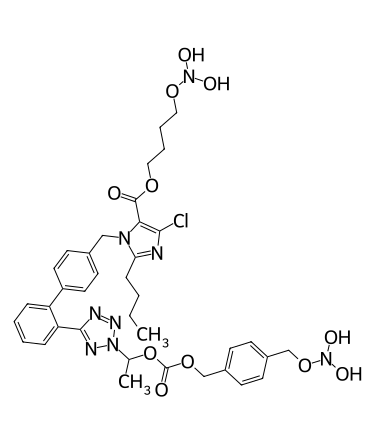 CCCCc1nc(Cl)c(C(=O)OCCCCON(O)O)n1Cc1ccc(-c2ccccc2-c2nnn(C(C)OC(=O)OCc3ccc(CON(O)O)cc3)n2)cc1